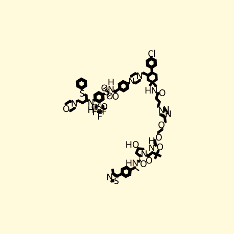 Cc1ncsc1-c1ccc([C@H](C)NC(=O)[C@@H]2C[C@@H](O)CN2C(=O)[C@@H](NC(=O)COCCOCc2cn(CCCC(=O)NCC3(C)CCC(c4ccc(Cl)cc4)=C(CN4CCN(c5ccc(C(=O)NS(=O)(=O)c6ccc(NC(CCN7CCOCC7)CSc7ccccc7)c(S(=O)(=O)C(F)(F)F)c6)cc5)CC4)C3)nn2)C(C)(C)C)cc1